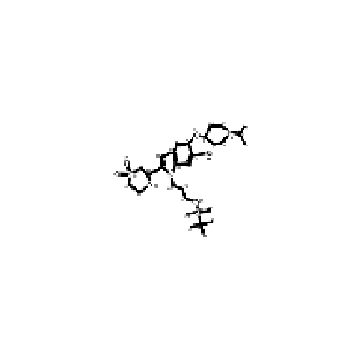 CC(C)N1CCC(Oc2cc3cc(C4CS(=O)(=O)CC[N]4)n(CCCO[Si](C)(C)C(C)(C)C)c3cc2Br)CC1